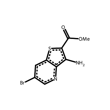 COC(=O)c1sc2cc(Br)cnc2c1N